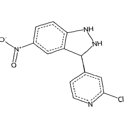 O=[N+]([O-])c1ccc2c(c1)C(c1ccnc(Cl)c1)NN2